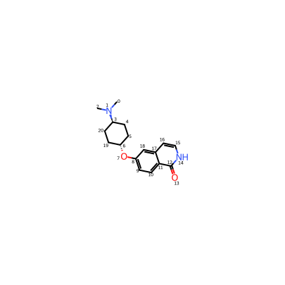 CN(C)[C@H]1CC[C@H](Oc2ccc3c(=O)[nH]ccc3c2)CC1